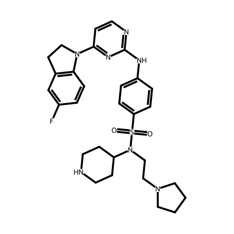 O=S(=O)(c1ccc(Nc2nccc(N3CCc4cc(F)ccc43)n2)cc1)N(CCN1CCCC1)C1CCNCC1